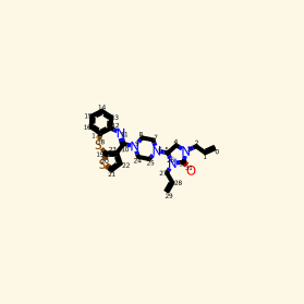 C=CCN1CC(N2CCN(C3=Nc4ccccc4Sc4sccc43)CC2)N(CC=C)C1=O